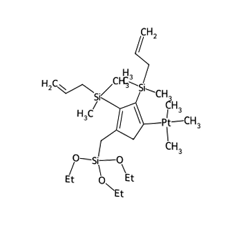 C=CC[Si](C)(C)C1=C(C[Si](OCC)(OCC)OCC)C[C]([Pt]([CH3])([CH3])[CH3])=C1[Si](C)(C)CC=C